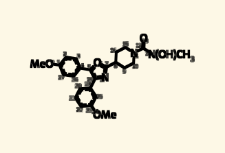 COc1ccc(-c2oc(C3CCN(C(=O)N(C)O)CC3)nc2-c2cccc(OC)c2)cc1